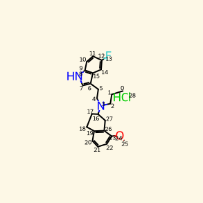 CCCN(CCc1c[nH]c2ccc(F)cc12)C1CCc2cccc(OC)c2C1.Cl